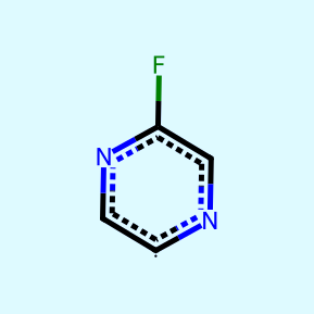 Fc1cn[c]cn1